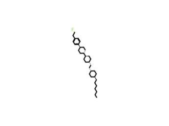 CCCCCCC[C@H]1CC[C@H](CC[C@H]2CC[C@H]([C@H]3CC[C@H](c4ccc(CCF)cc4)CC3)CC2)CC1